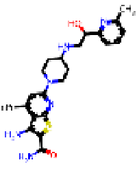 CCCc1cc(N2CCC(NCC(O)c3cccc(C)n3)CC2)nc2sc(C(N)=O)c(N)c12